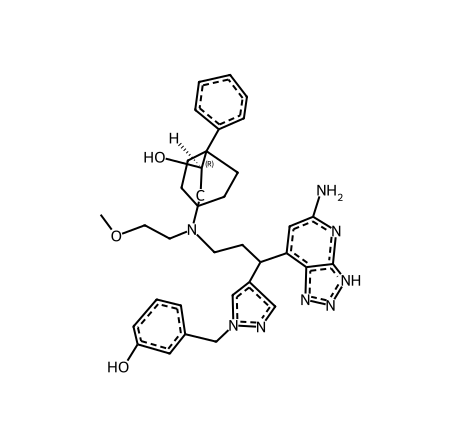 COCCN(CCC(c1cnn(Cc2cccc(O)c2)c1)c1cc(N)nc2[nH]nnc12)C12CCC(c3ccccc3)(CC1)[C@H](O)C2